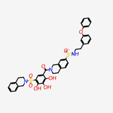 O=C(c1cc(S(=O)(=O)N2CCc3ccccc3C2)c(O)c(O)c1O)N1CCc2ccc([S+]([O-])NCCc3cccc(Oc4ccccc4)c3)cc2C1